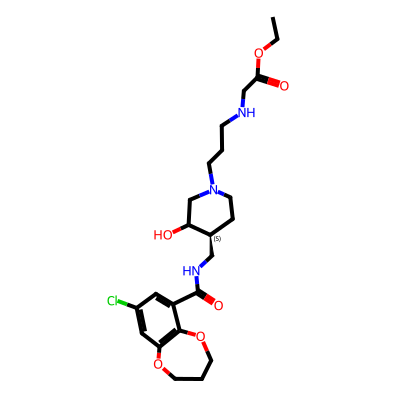 CCOC(=O)CNCCCN1CC[C@@H](CNC(=O)c2cc(Cl)cc3c2OCCCO3)C(O)C1